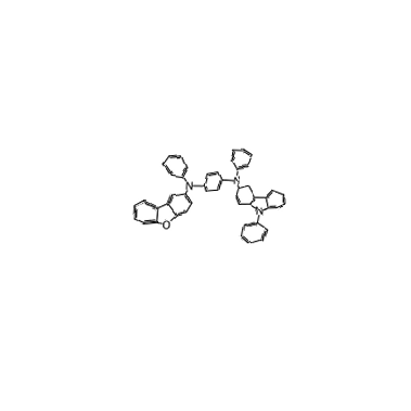 C1=CC(N(c2ccccc2)c2ccc(N(c3ccccc3)c3ccc4oc5ccccc5c4c3)cc2)Cc2c1n(-c1ccccc1)c1ccccc21